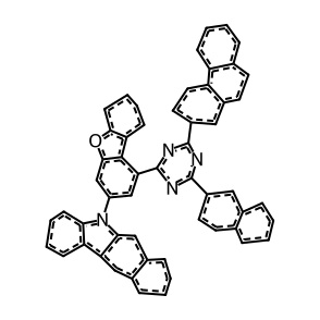 c1ccc2cc(-c3nc(-c4ccc5c(ccc6ccccc65)c4)nc(-c4cc(-n5c6ccccc6c6cc7ccccc7cc65)cc5oc6ccccc6c45)n3)ccc2c1